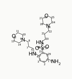 Nc1ccc(NCCCN2CCOCC2)c(S(=O)(=O)NCCCN2CCOCC2)c1